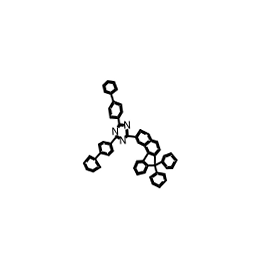 c1ccc(-c2ccc(-c3nc(-c4ccc(-c5ccccc5)cc4)nc(-c4ccc5ccc6c(c5c4)-c4ccccc4C6(c4ccccc4)c4ccccc4)n3)cc2)cc1